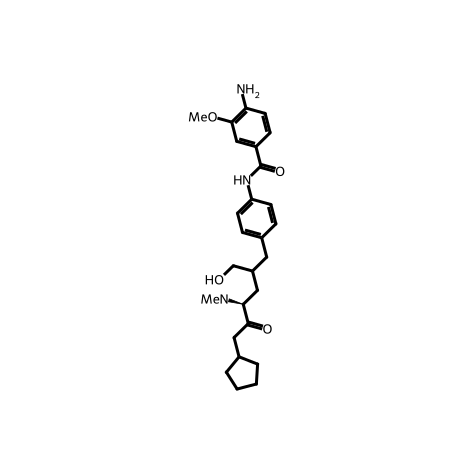 CN[C@@H](CC(CO)Cc1ccc(NC(=O)c2ccc(N)c(OC)c2)cc1)C(=O)CC1CCCC1